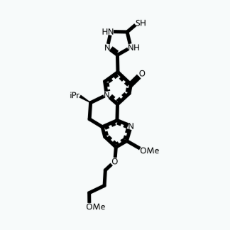 COCCCOc1cc2c(nc1OC)-c1cc(=O)c(C3=NNC(S)N3)cn1[C@H](C(C)C)C2